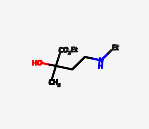 CCNCCC(C)(O)C(=O)OCC